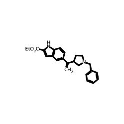 C=C(c1ccc2[nH]c(C(=O)OCC)cc2c1)C1CCN(Cc2ccccc2)C1